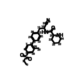 CCS(=O)(=O)c1ccc(-c2ccc(CC(C#N)NC(=O)C3CCCCN3)cc2)c(C)c1